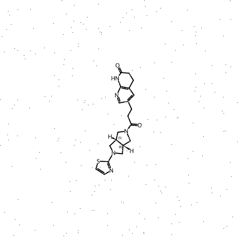 O=C1CCc2cc(CCC(=O)N3C[C@@H]4CN(c5nccs5)C[C@@H]4C3)cnc2N1